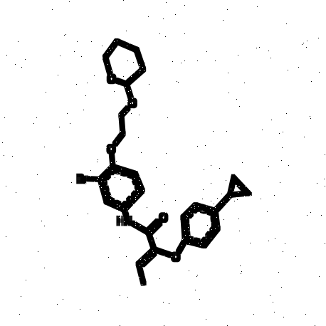 C/C=C(\Oc1ccc(C2CC2)cc1)C(=O)Nc1ccc(OCCOC2CCCCO2)c(Br)c1